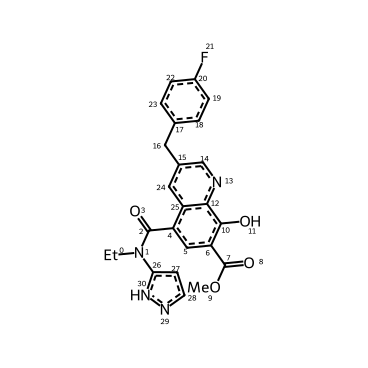 CCN(C(=O)c1cc(C(=O)OC)c(O)c2ncc(Cc3ccc(F)cc3)cc12)c1ccn[nH]1